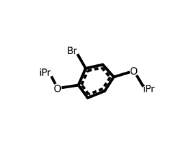 CC(C)Oc1ccc(OC(C)C)c(Br)c1